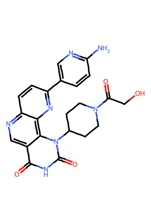 Nc1ccc(-c2ccc3ncc4c(=O)[nH]c(=O)n(C5CCN(C(=O)CO)CC5)c4c3n2)cn1